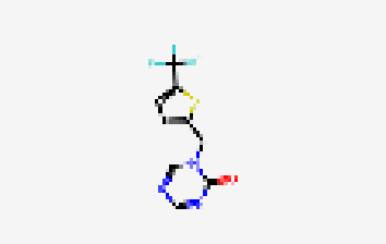 O=c1ncncn1Cc1ccc(C(F)(F)F)s1